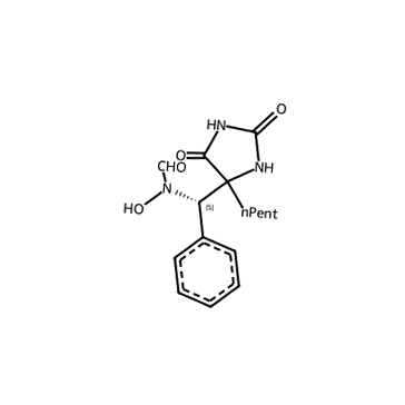 CCCCCC1([C@H](c2ccccc2)N(O)C=O)NC(=O)NC1=O